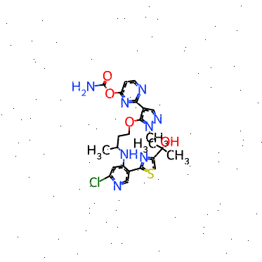 CC(CCOc1c(-c2nccc(OC(N)=O)n2)cnn1C)Nc1cc(Cl)ncc1-c1nc(C(C)(C)O)cs1